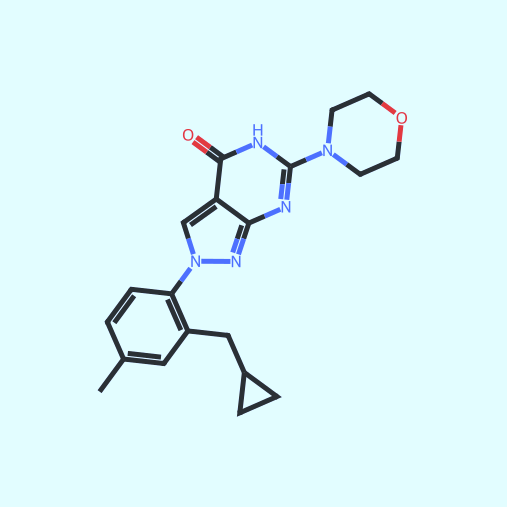 Cc1ccc(-n2cc3c(=O)[nH]c(N4CCOCC4)nc3n2)c(CC2CC2)c1